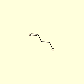 [O]CCC=S